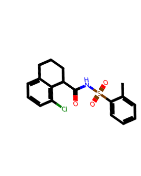 Cc1ccccc1S(=O)(=O)NC(=O)C1CCCc2cccc(Cl)c21